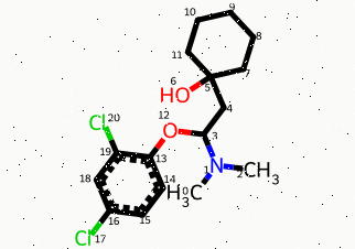 CN(C)C(CC1(O)CCCCC1)Oc1ccc(Cl)cc1Cl